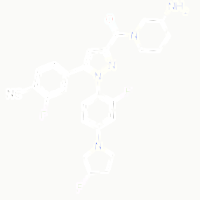 N#Cc1ccc(-c2cc(C(=O)N3CCC[C@@H](N)C3)nn2-c2ccc(N3CC[C@H](F)C3)cc2F)cc1F